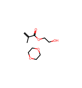 C1COCCO1.C=C(C)C(=O)OCCO